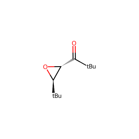 CC(C)(C)C(=O)[C@H]1O[C@@H]1C(C)(C)C